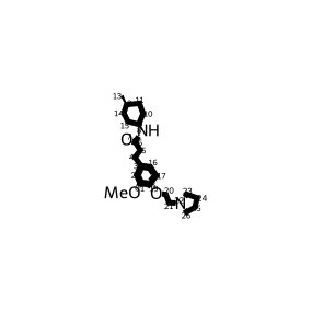 COc1cc(CCC(=O)N[C@H]2CC[C@H](C)CC2)ccc1OCCN1CCCC1